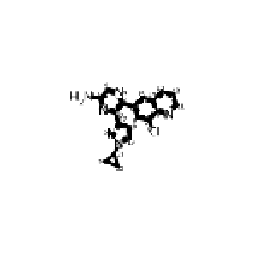 Nc1cnc(-c2cc(Cl)c3ncccc3c2)c(-c2ccn(C3CC3)n2)n1